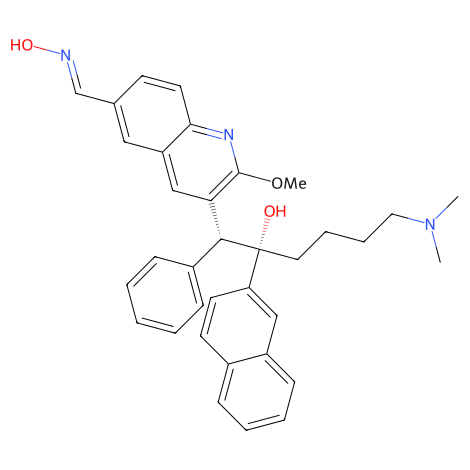 COc1nc2ccc(/C=N/O)cc2cc1[C@@H](c1ccccc1)[C@@](O)(CCCCN(C)C)c1ccc2ccccc2c1